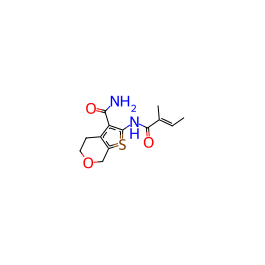 C/C=C(\C)C(=O)Nc1sc2c(c1C(N)=O)CCOC2